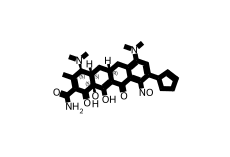 CC1=C(C(N)=O)C(=O)[C@@]2(O)C(O)=C3C(=O)c4c(c(N(C)C)cc(C5C=CCC5)c4N=O)C[C@H]3C[C@H]2[C@@H]1N(C)C